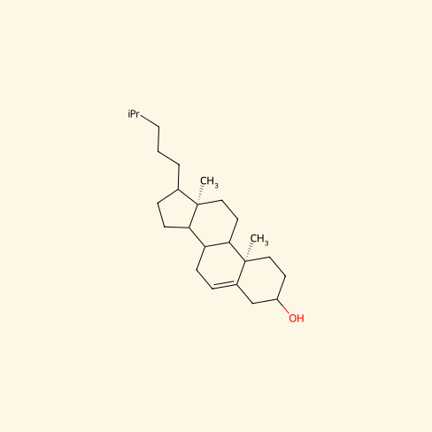 CC(C)CCCC1CCC2C3CC=C4CC(O)CC[C@]4(C)C3CC[C@]12C